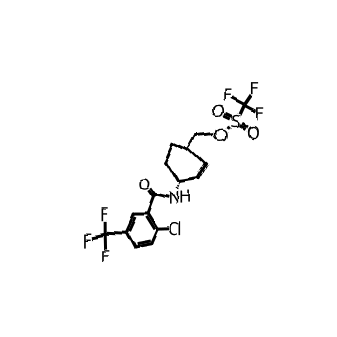 O=C(N[C@H]1CC[C@H](COS(=O)(=O)C(F)(F)F)CC1)c1cc(C(F)(F)F)ccc1Cl